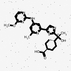 COc1ccnc(Nc2cc(C)nc(-c3cnc([C@](C)(O)[C@H]4CC[C@H](C(=O)O)CC4)s3)c2)n1